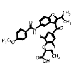 CCC(Oc1c(I)cc(C(=O)c2c(C(C)C)oc3ccc(NC(=O)c4ccc(OC)cc4)cc23)cc1I)C(=O)O